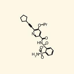 CC(C)Oc1cc(C(=O)NS(=O)(=O)c2ccccc2S(N)(=O)=O)cnc1C#CC1CCCC1